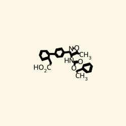 Cc1onc(-c2ccc(-c3ccccc3CC(=O)O)cc2)c1NC(=O)O[C@H](C)c1ccccc1